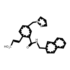 O=C(O)/C=C/c1ccc(Cn2cccn2)cc1C(=O)NCc1ccc2ccccc2c1